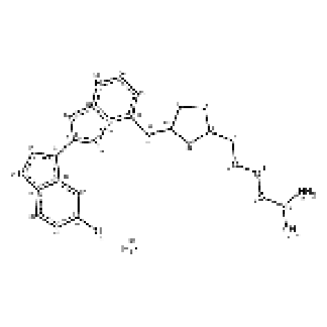 CN(N)SOOCC1CCC(Nc2ccnc3cc(-c4coc5ccc(Cl)cc45)nn23)C1.S